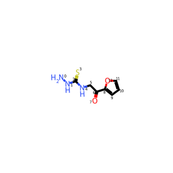 NNC(=S)NCC(=O)c1ccco1